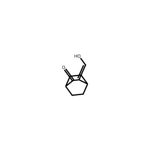 O=C1/C(=C\O)C2CCC1CC2